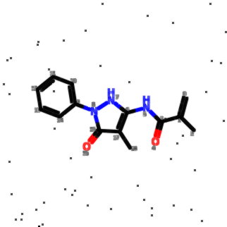 C=C(C)C(=O)Nc1[nH]n(-c2ccccc2)c(=O)c1C